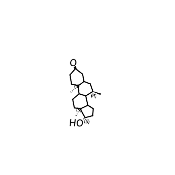 C[C@@H]1CC2CC(=O)CC[C@]2(C)C2CC[C@@]3(C)C(CC[C@@H]3O)C21